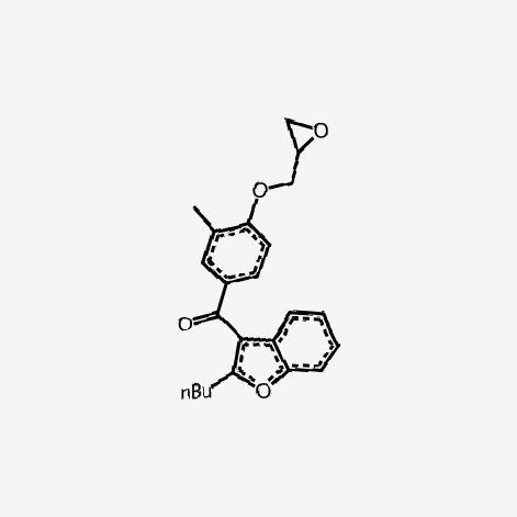 CCCCc1oc2ccccc2c1C(=O)c1ccc(OCC2CO2)c(C)c1